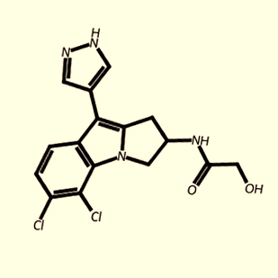 O=C(CO)NC1Cc2c(-c3cn[nH]c3)c3ccc(Cl)c(Cl)c3n2C1